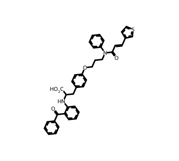 O=C(c1ccccc1)c1ccccc1NC(Cc1ccc(OCCCN(C(=O)C=Cc2ccsc2)c2ccccc2)cc1)C(=O)O